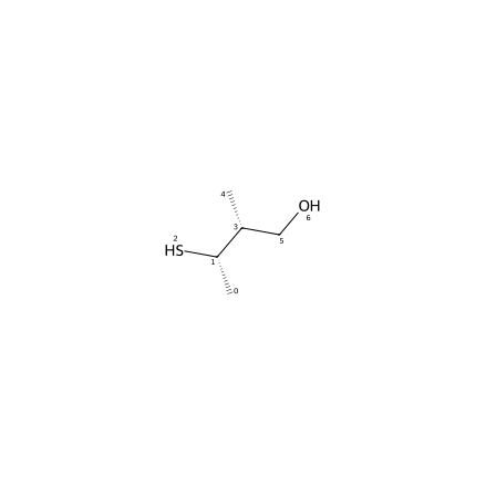 C[C@H](S)[C@H](C)CO